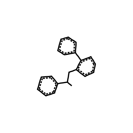 CC(Cc1ccccc1-c1ccccc1)c1ccccc1